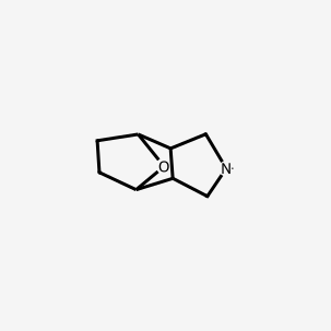 C1CC2OC1C1C[N]CC21